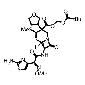 CON=C(C(=O)NC1C(=O)N2CC(C(=O)OCOC(=O)C(C)(C)C)(C3CCOC3)C(SC)S[C@H]12)c1csc(N)n1